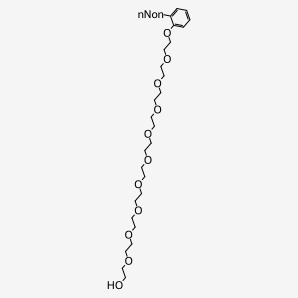 CCCCCCCCCc1ccccc1OCCOCCOCCOCCOCCOCCOCCOCCOCCOCCO